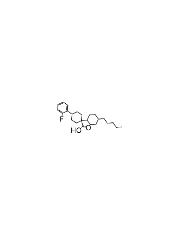 CCCCCC1CCC(C2(C(=O)O)CCC(c3ccccc3F)CC2)CC1